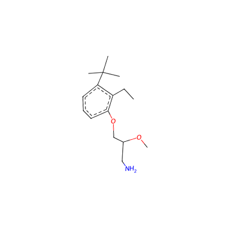 CCc1c(OCC(CN)OC)cccc1C(C)(C)C